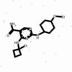 CCOC1CCC(Nc2ncc(C(N)=O)c(NC3(CC)CCC3)n2)CC1